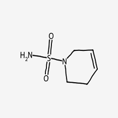 NS(=O)(=O)N1CC=CCC1